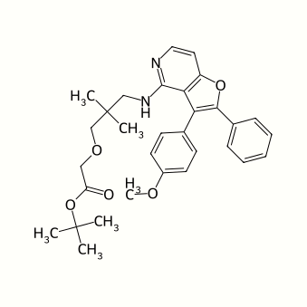 COc1ccc(-c2c(-c3ccccc3)oc3ccnc(NCC(C)(C)COCC(=O)OC(C)(C)C)c23)cc1